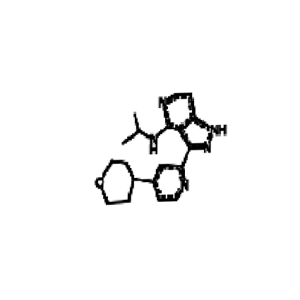 CC(C)Nc1nccc2[nH]nc(-c3cc(C4CCOCC4)ccn3)c12